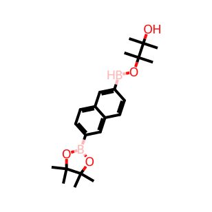 CC(C)(O)C(C)(C)OBc1ccc2cc(B3OC(C)(C)C(C)(C)O3)ccc2c1